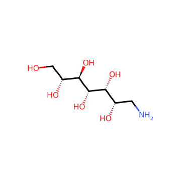 NC[C@H](O)[C@@H](O)[C@H](O)[C@H](O)[C@H](O)CO